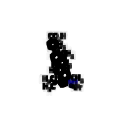 C=C(C)[C@@H]1CC[C@@]2(NCC(C)C)[C@@H]1[C@@H]1CC[C@@H]3[C@](C)(CC[C@H]4C(C)(C)C(c5ccc(C(=O)O)cc5)=CC[C@@]34C)[C@@H]1C[C@H]2C